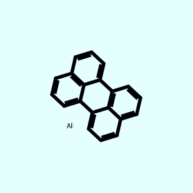 [Al].c1cc2cccc3c4cccc5cccc(c(c1)c23)c54